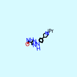 CC(C)N1CCC(c2ccc(Nc3ncc(C(N)=O)cn3)cc2)CC1